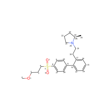 COCCCS(=O)(=O)c1ccc(-c2ccccc2CCN2CCC[C@H]2C)cc1